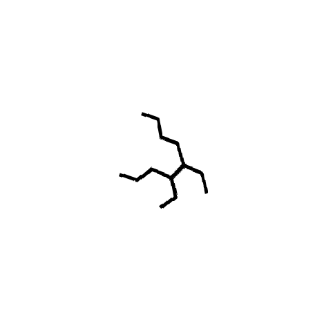 CCCC[C](CC)C(CC)CCC